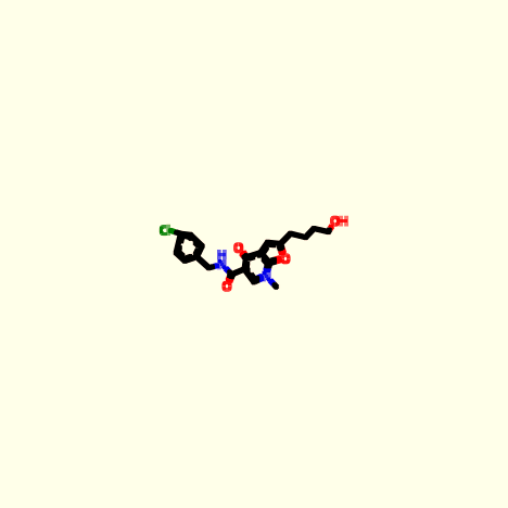 Cn1cc(C(=O)NCc2ccc(Cl)cc2)c(=O)c2cc(CCCCO)oc21